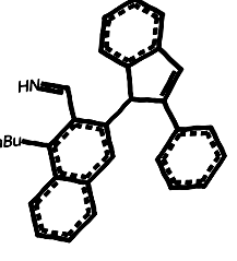 CCCCc1c(C=N)c(C2C(c3ccccc3)=Cc3ccccc32)cc2ccccc12